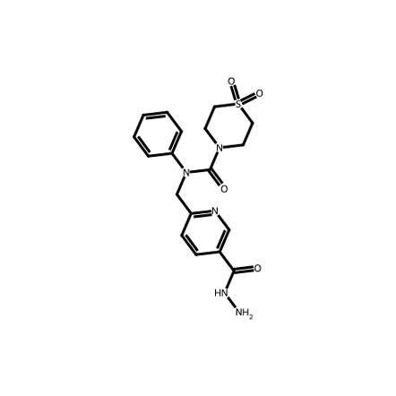 NNC(=O)c1ccc(CN(C(=O)N2CCS(=O)(=O)CC2)c2ccccc2)nc1